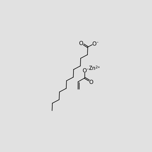 C=CC(=O)[O-].CCCCCCCCCCCC(=O)[O-].[Zn+2]